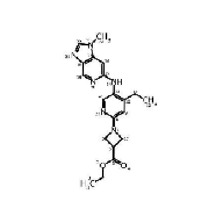 CCOC(=O)C1CN(c2cc(CC)c(Nc3cc4c(cn3)ncn4C)cn2)C1